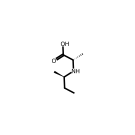 CC[C@@H](C)N[C@@H](C)C(=O)O